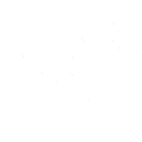 C=C(c1cnc2cc(C)nn2c1C)N1CCN(c2cc(NCCNC(C)=O)nc(-c3ccc(Cl)cc3)n2)CC1